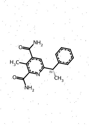 Cc1c(C(N)=O)cc([C@@H](C)c2ccccc2)nc1C(N)=O